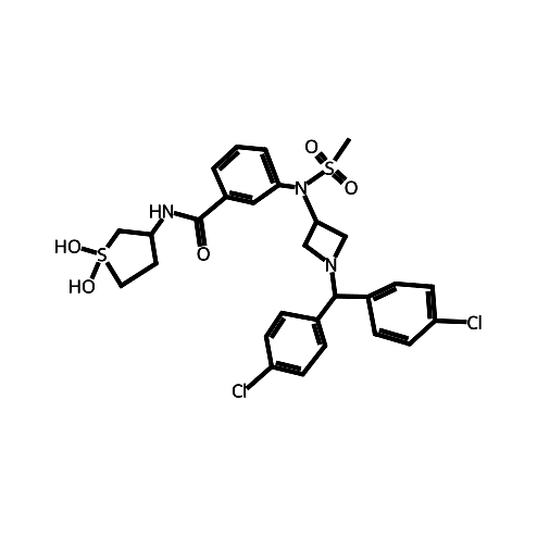 CS(=O)(=O)N(c1cccc(C(=O)NC2CCS(O)(O)C2)c1)C1CN(C(c2ccc(Cl)cc2)c2ccc(Cl)cc2)C1